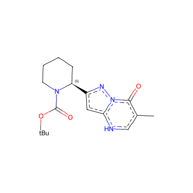 Cc1c[nH]c2cc([C@@H]3CCCCN3C(=O)OC(C)(C)C)nn2c1=O